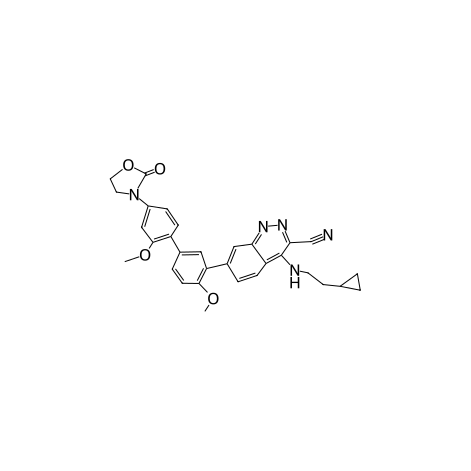 COc1cc(N2CCOC2=O)ccc1-c1ccc(OC)c(-c2ccc3c(NCCC4CC4)c(C#N)nnc3c2)c1